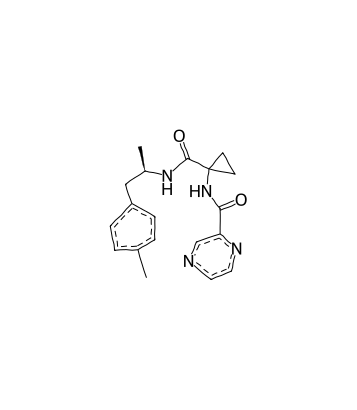 Cc1ccc(C[C@@H](C)NC(=O)C2(NC(=O)c3cnccn3)CC2)cc1